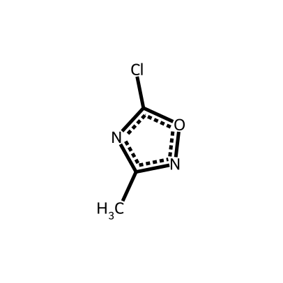 Cc1noc(Cl)n1